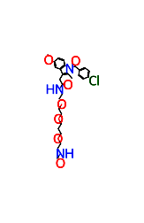 COc1ccc2c(c1)c(CC(=O)NCCOCCOCCCOCCNC=O)c(C)n2C(=O)c1ccc(Cl)cc1